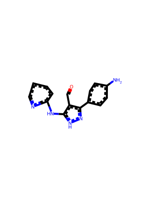 Nc1ccc(-c2n[nH]c(Nc3ccccn3)c2C=O)cc1